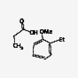 CCC(=O)O.CCc1ccccc1OC